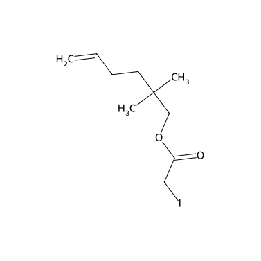 C=CCCC(C)(C)COC(=O)CI